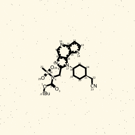 CC(C)(C)OC(=O)N(Cc1nc2cnc3ccsc3c2n1[C@H]1CC[C@H](CC#N)CC1)S(C)(=O)=O